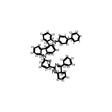 c1ccc(-c2ccc(-n3c4ccccc4c4c5c6ccccc6n(-c6cccc(-c7nc(-c8ccccc8)c8ccccc8n7)n6)c5ccc43)cc2)cc1